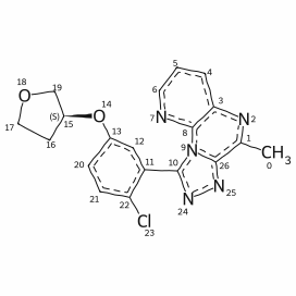 Cc1nc2cccnc2n2c(-c3cc(O[C@H]4CCOC4)ccc3Cl)nnc12